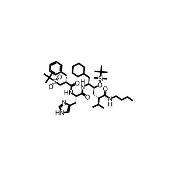 CCCCNC(=O)[C@@H](C[C@H](O[Si](C)(C)C(C)(C)C)[C@H](CC1CCCCC1)NC(=O)[C@H](Cc1c[nH]cn1)NC(=O)[C@@H](Cc1ccccc1)CS(=O)(=O)C(C)(C)C)C(C)C